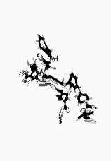 COC(=O)c1ccc(C(=O)N(Cc2nc3cc(C(=N)N)ccc3n2CC(=O)NC2CCCCC2)c2ccc(OC3CCN(C(=O)OC(C)(C)C)CC3)cc2)cc1